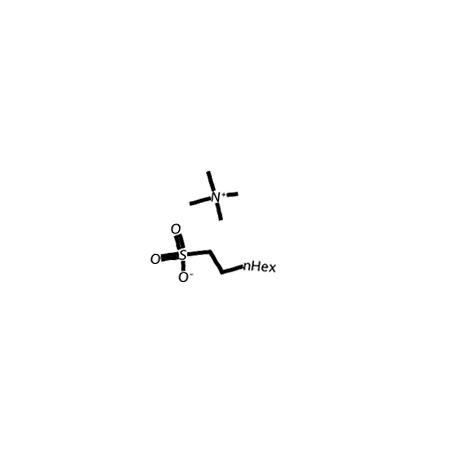 CCCCCCCCS(=O)(=O)[O-].C[N+](C)(C)C